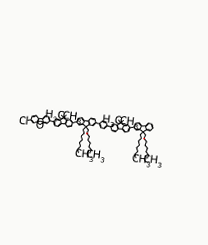 CCCCCCCCC1(CCCCCCCC)c2ccccc2-c2ccc(-c3ccc4c(c3)C(C)(C)c3cc(-c5ccc(-c6ccc7c(c6)C(CCCCCCCC)(CCCCCCCC)c6cc(-c8ccc9c(c8)C(C)(C)c8cc(-c%10ccc%11c(c%10)oc%10cc(Cl)ccc%10%11)ccc8-9)ccc6-7)cc5)ccc3-4)cc21